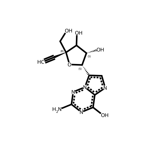 C#C[C@]1(CO)O[C@@H](c2cnc3c(O)nc(N)nn23)[C@@H](O)C1O